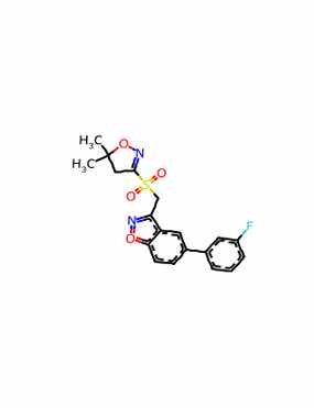 CC1(C)CC(S(=O)(=O)Cc2noc3ccc(-c4cccc(F)c4)cc23)=NO1